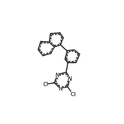 Clc1nc(Cl)nc(-c2cccc(-c3cccc4ccccc34)c2)n1